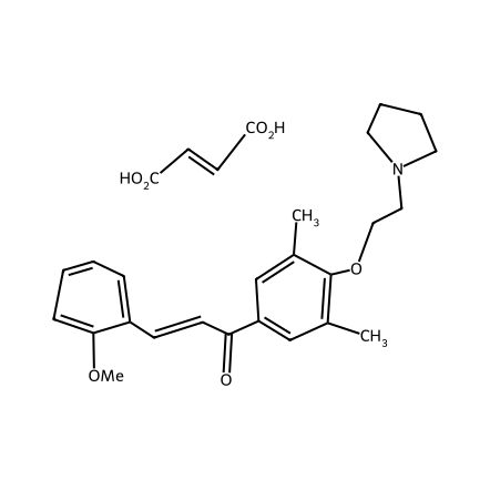 COc1ccccc1/C=C/C(=O)c1cc(C)c(OCCN2CCCC2)c(C)c1.O=C(O)/C=C/C(=O)O